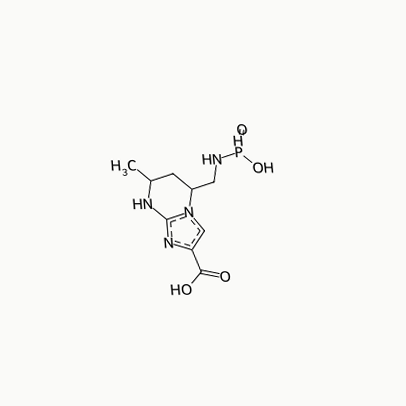 CC1CC(CN[PH](=O)O)n2cc(C(=O)O)nc2N1